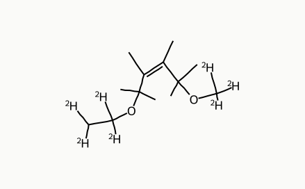 [2H]C([2H])C([2H])([2H])OC(C)(C)/C(C)=C(/C)C(C)(C)OC([2H])([2H])[2H]